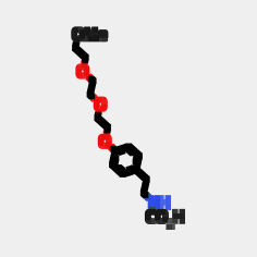 COCCOCCOCCOc1ccc(CCNC(=O)O)cc1